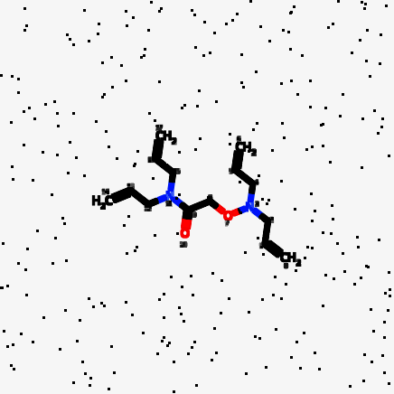 C=CCN(CC=C)OCC(=O)N(CC=C)CC=C